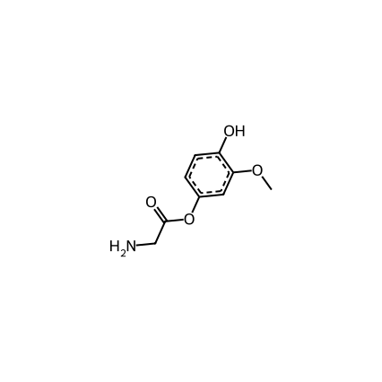 COc1cc(OC(=O)CN)ccc1O